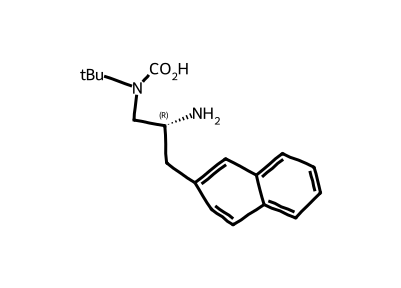 CC(C)(C)N(C[C@H](N)Cc1ccc2ccccc2c1)C(=O)O